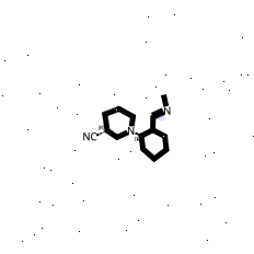 C/N=C/C1CCCC[C@@H]1N1CCC[C@@H](C#N)C1